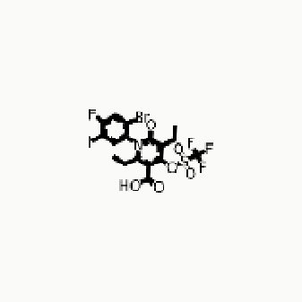 CCc1c(OS(=O)(=O)C(F)(F)F)c(C(=O)O)c(CC)n(-c2cc(I)c(F)cc2Br)c1=O